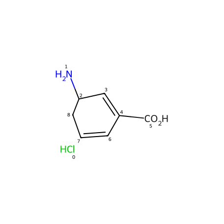 Cl.NC1C=C(C(=O)O)C=CC1